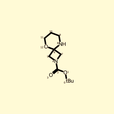 CC(C)(C)OC(=O)N1CC2(C1)NCCCO2